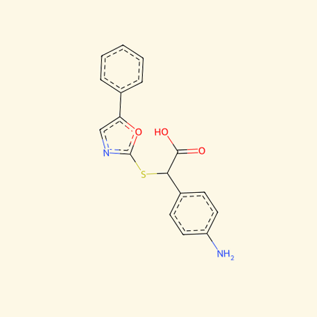 Nc1ccc(C(Sc2ncc(-c3ccccc3)o2)C(=O)O)cc1